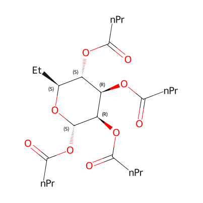 CCCC(=O)O[C@@H]1O[C@@H](CC)[C@H](OC(=O)CCC)[C@@H](OC(=O)CCC)[C@H]1OC(=O)CCC